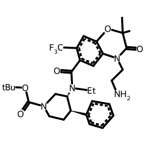 CCN(C(=O)c1cc2c(cc1C(F)(F)F)OC(C)(C)C(=O)N2CCN)[C@H]1CN(C(=O)OC(C)(C)C)CC[C@@H]1c1ccccc1